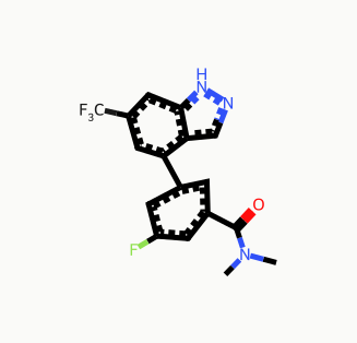 CN(C)C(=O)c1cc(F)cc(-c2cc(C(F)(F)F)cc3[nH]ncc23)c1